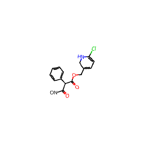 O=NC(=O)C(C(=O)OCC1=CC=C(Cl)NC1)c1ccccc1